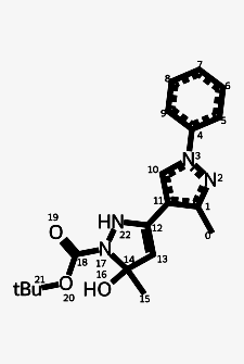 Cc1nn(-c2ccccc2)cc1C1=CC(C)(O)N(C(=O)OC(C)(C)C)N1